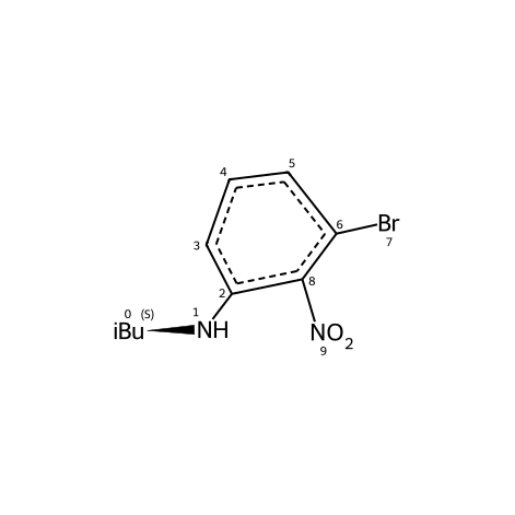 CC[C@H](C)Nc1cccc(Br)c1[N+](=O)[O-]